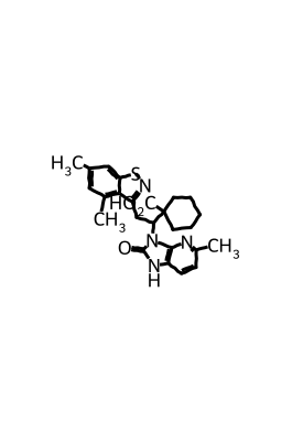 Cc1cc(C)c2c(CC(n3c(=O)[nH]c4ccc(C)nc43)C3(C(=O)O)CCCCC3)nsc2c1